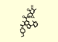 C=C(c1c(C)c(C(=O)NCc2c(OC)cc(C)[nH]c2=O)cc2c(-c3cccnc3C)ccn12)N1CCN(CC)CC1